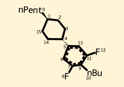 CCCCC[C@H]1CC[C@H](c2cc(F)c(CCCC)c(F)c2)CC1